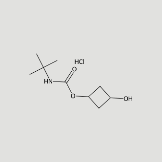 CC(C)(C)NC(=O)OC1CC(O)C1.Cl